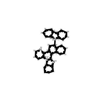 c1ccc2c(c1)nc1c3c4ccccc4c(-n4c5ccccc5c5ccccc54)cc3c3ncccc3n21